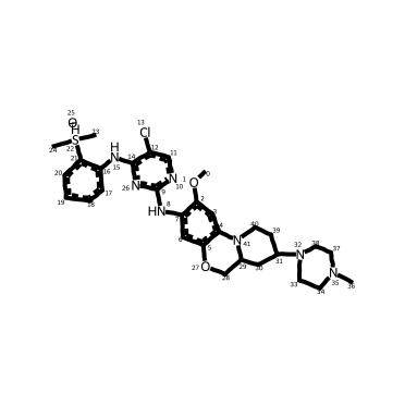 COc1cc2c(cc1Nc1ncc(Cl)c(Nc3ccccc3[SH](C)(C)=O)n1)OCC1CC(N3CCN(C)CC3)CCN21